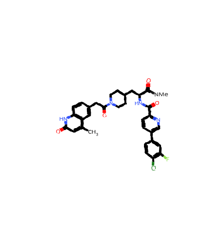 CNC(=O)C(CC1CCN(C(=O)Cc2ccc3[nH]c(=O)cc(C)c3c2)CC1)NC(=O)c1ccc(-c2ccc(Cl)c(F)c2)cn1